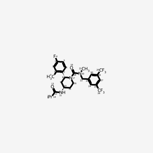 Cc1cc(F)ccc1[C@H]1C[C@@H](NC(=O)C(C)C)CCN1C(=O)N(C)Cc1cc(C(F)(F)F)cc(C(F)(F)F)c1